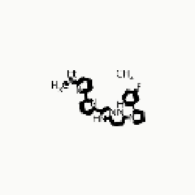 C.CCN(C)c1cccc(-c2cccc(-c3cnc(/C=C\C(=N)N4CCC[C@@H]4c4cccc(F)c4)[nH]3)n2)n1